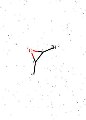 [2H]C1OC1C